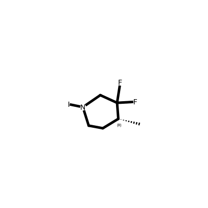 C[C@@H]1CCN(I)CC1(F)F